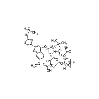 C=CC1C[C@]1(NC(=O)[C@@H]1C[C@@H](Oc2cc(-c3csc(NC(C)C)n3)nc3cc(OC)ccc23)CN1C(=O)[C@@H](NC(=O)O[C@H]1C[C@@H]2C[C@@H]2C1)C(C)(C)C)C(=O)O